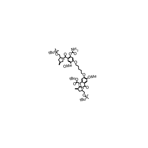 C=C1CC(CO[Si](C)(C)C(C)(C)C)N(C(=O)c2cc(OC)c(OCCCCCOc3cc(OC(N)=O)c(C(=O)N4CC(=C)CC4CO[Si](C)(C)C(C)(C)C)cc3OC)cc2NC(=O)OC(C)(C)C)C1